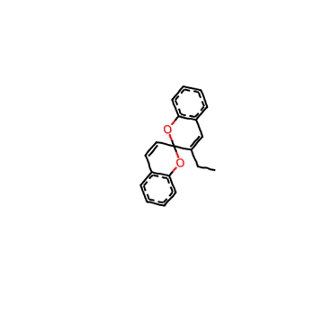 CCC1=Cc2ccccc2OC12C=Cc1ccccc1O2